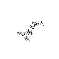 CON=C(C(=O)NC1C(=O)N2C=C(C(=O)OCOC(=O)OC(C)(C)C)CS[C@H]12)c1csc(N)n1